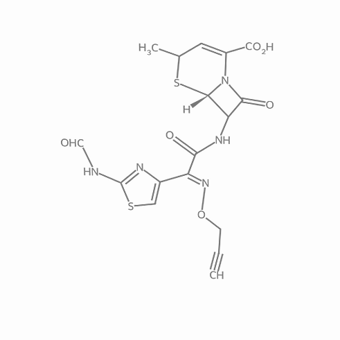 C#CCON=C(C(=O)NC1C(=O)N2C(C(=O)O)=CC(C)S[C@@H]12)c1csc(NC=O)n1